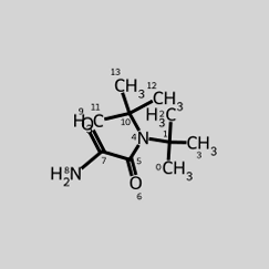 CC(C)(C)N(C(=O)C(N)=O)C(C)(C)C